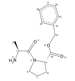 C[C@H](N)C(=O)N1CCC[C@H]1C(=O)OCc1ccccc1